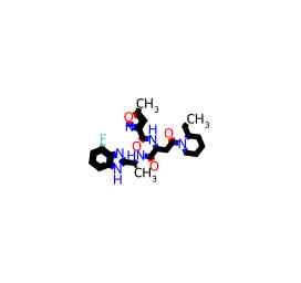 CCC1CCCCN1C(=O)CC(NC(=O)c1cc(C)on1)C(=O)N[C@@H](C)c1nc2c(F)cccc2[nH]1